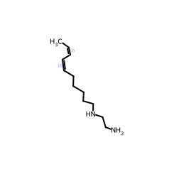 C/C=C\C=C/CCCCCNCCN